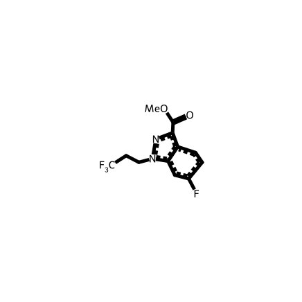 COC(=O)c1nn(CCC(F)(F)F)c2cc(F)ccc12